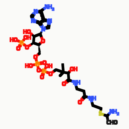 CC(C)(COP(=O)(O)OP(=O)(O)OC[C@H]1O[C@@H](n2cnc3c(N)ncnc32)[C@H](O)[C@@H]1OP(=O)(O)O)C(O)C(=O)NCCC(=O)NCCSC(N)C=O